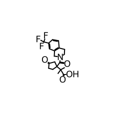 CC(C)(C(=O)O)C1(C(=O)N2CCc3ccc(C(F)(F)F)cc3C2)CCC(=O)C1